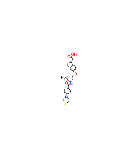 Cc1oc(-c2ccc(N3CCSCC3)cc2)nc1CCOc1ccc2c(c1)CC[C@H]2CC(=O)O